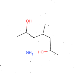 CC(O)CC(C)CC(C)O.N